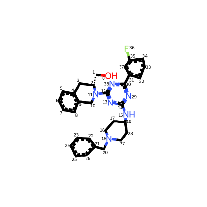 OC[C@H]1Cc2ccccc2CN1c1nc(NC2CCN(Cc3ccccc3)CC2)nc(-c2cccc(F)c2)n1